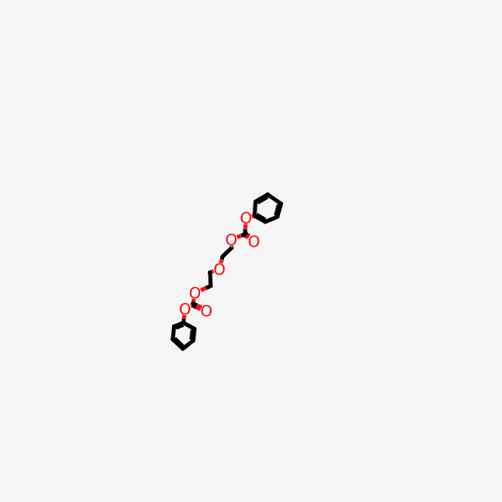 O=C(OCCOCCOC(=O)Oc1ccccc1)Oc1ccccc1